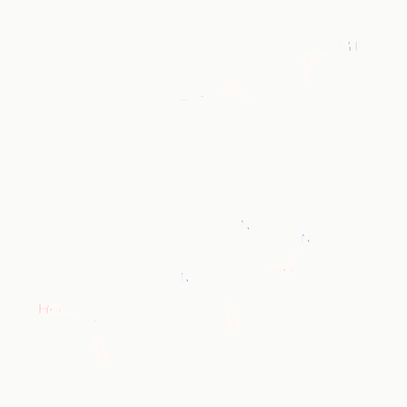 COc1ccc(-c2noc(C(=O)NCCC(=O)O)n2)cc1OC